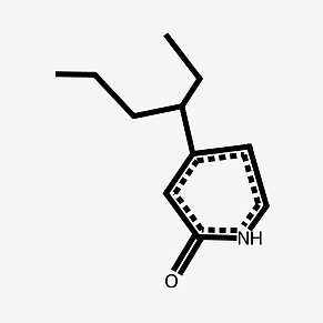 CCCC(CC)c1cc[nH]c(=O)c1